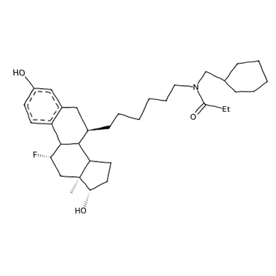 CCC(=O)N(CCCCCC[C@@H]1Cc2cc(O)ccc2C2C1C1CC[C@H](O)[C@@]1(C)C[C@@H]2F)CC1CCCCC1